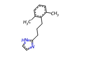 Cc1cccc(C)c1CCCc1ncc[nH]1